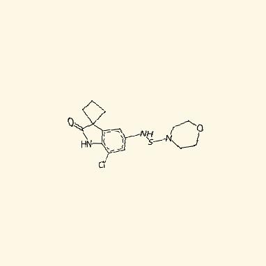 O=C1Nc2c(Cl)cc(NSN3CCOCC3)cc2C12CCC2